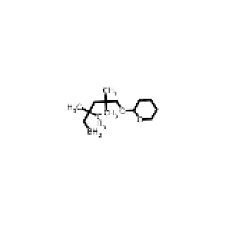 BCC(C)(C)CC(C)(C)COC1CCCCO1